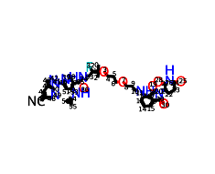 CC(C)(OCCCOCCCNc1cccc2c1C(=O)N(C1CCC(=O)NC1=O)C2=O)C(F)CNC(=O)c1cnc(-n2ncc3cc(C#N)cnc32)cc1NC1CC1